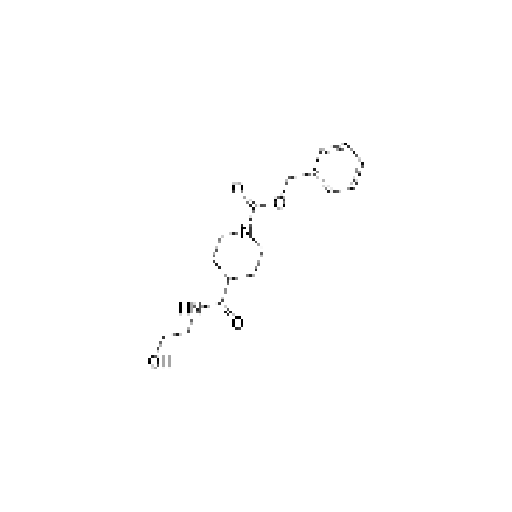 O=C(NCCO)C1CCN(C(=O)OCc2ccccc2)CC1